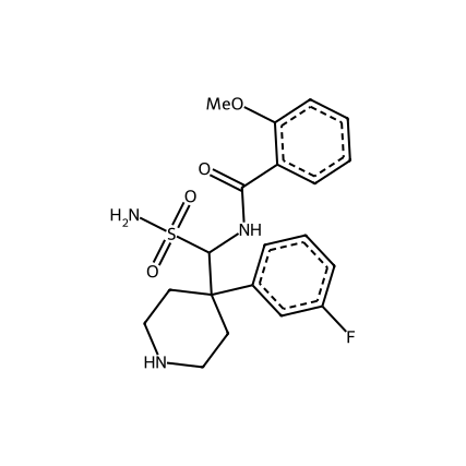 COc1ccccc1C(=O)NC(C1(c2cccc(F)c2)CCNCC1)S(N)(=O)=O